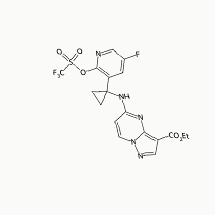 CCOC(=O)c1cnn2ccc(NC3(c4cc(F)cnc4OS(=O)(=O)C(F)(F)F)CC3)nc12